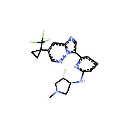 CN1C[C@H](Nc2cccc(-c3cnc4cc(C5(C(F)(F)F)CC5)cnn34)n2)[C@@H](F)C1